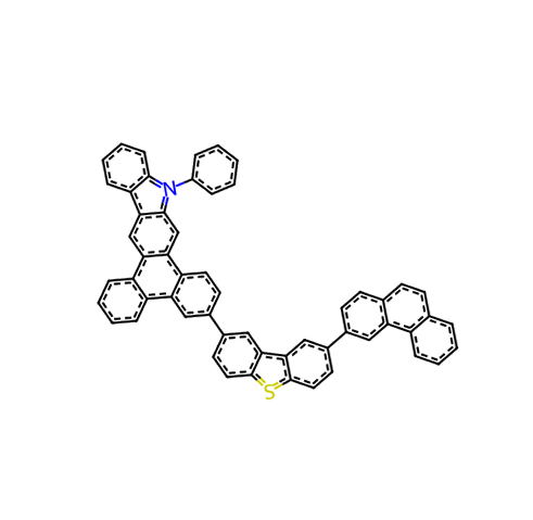 c1ccc(-n2c3ccccc3c3cc4c5ccccc5c5cc(-c6ccc7sc8ccc(-c9ccc%10ccc%11ccccc%11c%10c9)cc8c7c6)ccc5c4cc32)cc1